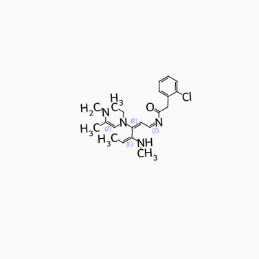 C=N/C(C)=C\N(CC)C(=C/C=N\C(=O)Cc1ccccc1Cl)/C(=C\C)NC